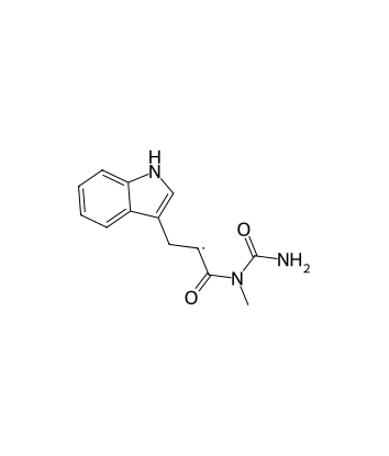 CN(C(N)=O)C(=O)[CH]Cc1c[nH]c2ccccc12